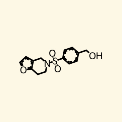 O=S(=O)(c1ccc(CO)cc1)N1CCc2occc2C1